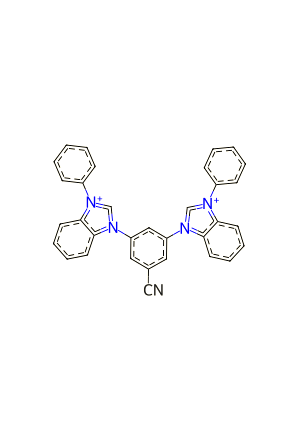 N#Cc1cc(-n2c[n+](-c3ccccc3)c3ccccc32)cc(-n2c[n+](-c3ccccc3)c3ccccc32)c1